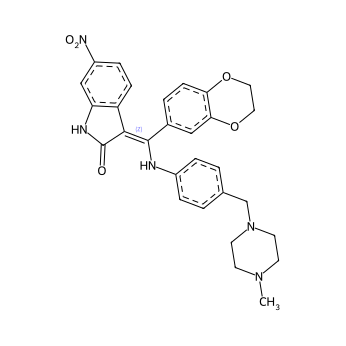 CN1CCN(Cc2ccc(N/C(=C3\C(=O)Nc4cc([N+](=O)[O-])ccc43)c3ccc4c(c3)OCCO4)cc2)CC1